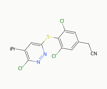 CC(C)c1cc(Sc2c(Cl)cc(CC#N)cc2Cl)nnc1Cl